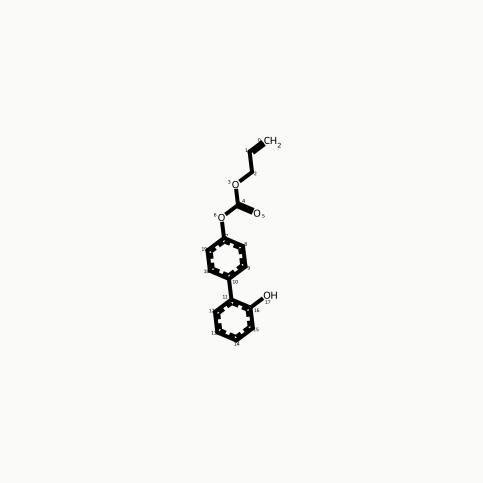 C=CCOC(=O)Oc1ccc(-c2ccccc2O)cc1